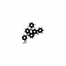 COc1cccc(-n2c3ccccc3c3c(N(c4ccccc4)c4ccc5sc6ccccc6c5c4)cccc32)c1